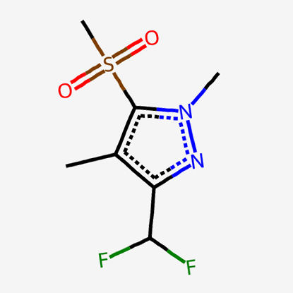 Cc1c(C(F)F)nn(C)c1S(C)(=O)=O